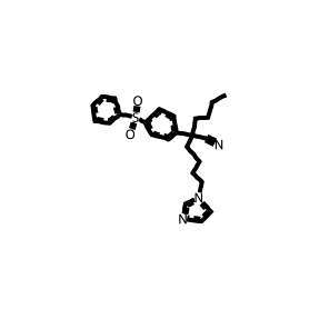 CCCCC(C#N)(CCCCn1ccnc1)c1ccc(S(=O)(=O)c2ccccc2)cc1